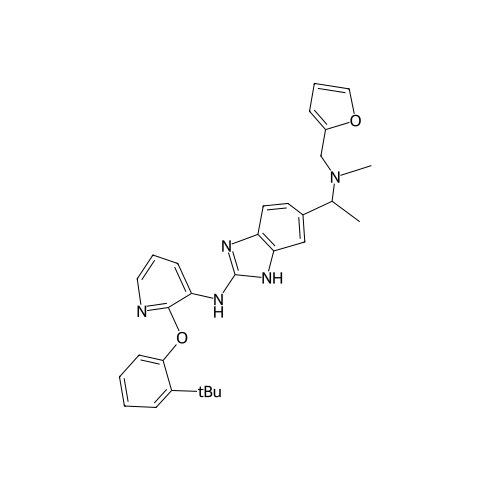 CC(c1ccc2nc(Nc3cccnc3Oc3ccccc3C(C)(C)C)[nH]c2c1)N(C)Cc1ccco1